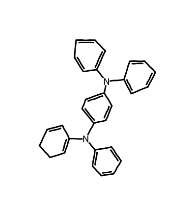 C1=CC(N(c2ccccc2)c2ccc(N(c3ccccc3)c3ccccc3)cc2)=CCC1